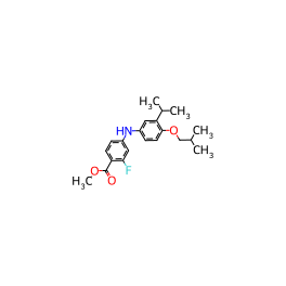 COC(=O)c1ccc(Nc2ccc(OCC(C)C)c(C(C)C)c2)cc1F